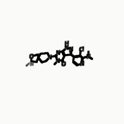 C[C@H]1CC2(CCN(c3nc4[nH]nc(-c5ccnc(N(C)C)c5Cl)c4c(=O)n3C)CC2)CO1